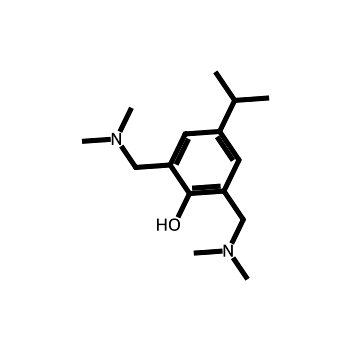 CC(C)c1cc(CN(C)C)c(O)c(CN(C)C)c1